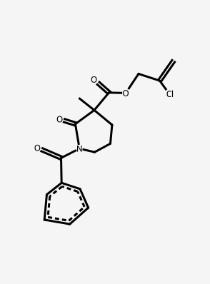 C=C(Cl)COC(=O)C1(C)CCCN(C(=O)c2ccccc2)C1=O